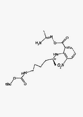 CC(N)=NOC(=O)c1cccc([N+](=O)[O-])c1N[C@@H](C)CCCCNC(=O)OC(C)(C)C